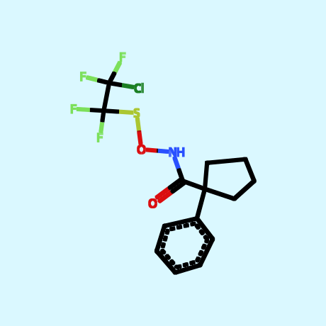 O=C(NOSC(F)(F)C(F)(F)Cl)C1(c2ccccc2)CCCC1